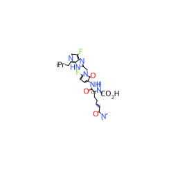 CC(C)Cc1ncc(F)c2nc(Cn3c(F)ccc(NC(=O)[C@H](CC/C=C/C(=O)N(C)C)NC(=O)O)c3=O)[nH]c12